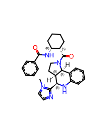 Cn1ccnc1[C@@H]1Nc2ccccc2[C@H]2[C@@H]1CCN2C(=O)[C@H]1CCCC[C@H]1NC(=O)c1ccccc1